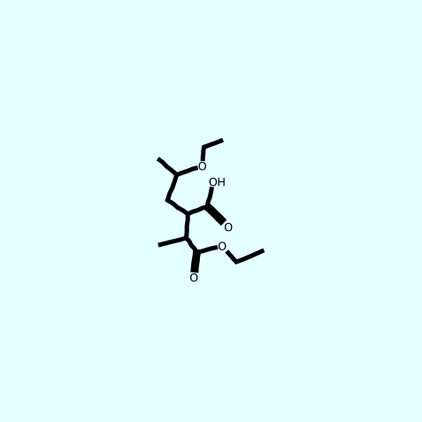 CCOC(=O)C(C)C(CC(C)OCC)C(=O)O